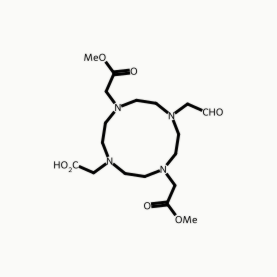 COC(=O)CN1CCN(CC=O)CCN(CC(=O)OC)CCN(CC(=O)O)CC1